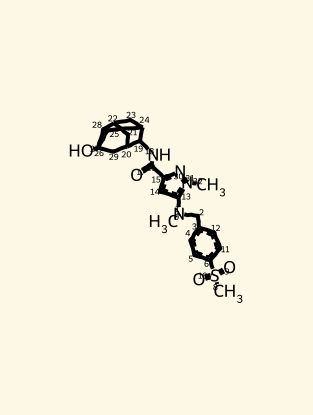 CN(Cc1ccc(S(C)(=O)=O)cc1)c1cc(C(=O)NC2C3CC4CC2CC(O)(C4)C3)nn1C